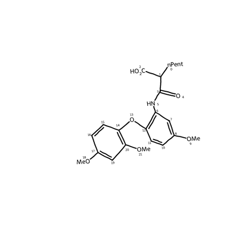 CCCCCC(C(=O)O)C(=O)Nc1cc(OC)ccc1Oc1ccc(OC)cc1OC